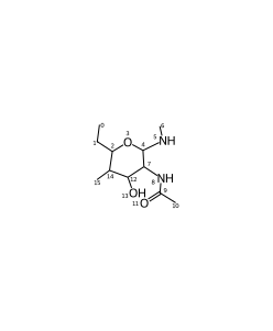 CCC1OC(NC)C(NC(C)=O)C(O)C1C